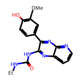 CCNC(=O)Nc1nc2cccnc2nc1-c1ccc(O)c(OC)c1